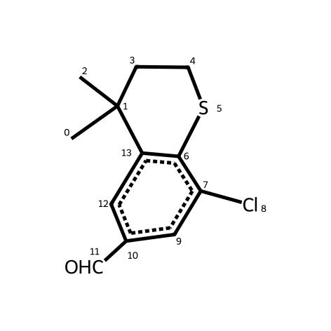 CC1(C)CCSc2c(Cl)cc(C=O)cc21